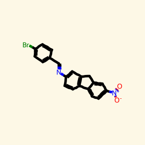 O=[N+]([O-])c1ccc2c(c1)Cc1cc(N=Cc3ccc(Br)cc3)ccc1-2